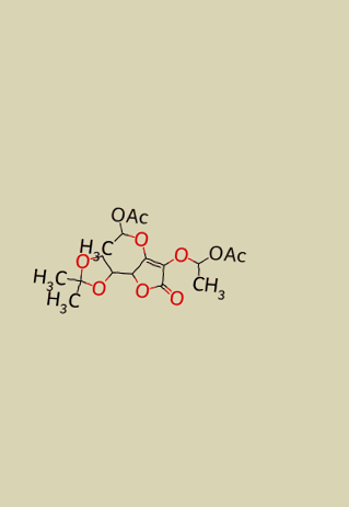 CC(=O)OC(C)OC1=C(OC(C)OC(C)=O)C(C2COC(C)(C)O2)OC1=O